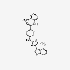 Cc1sc(Nc2ccc(C(=O)Nc3ccccc3N)cc2)nc1-c1cnc2ccccn12